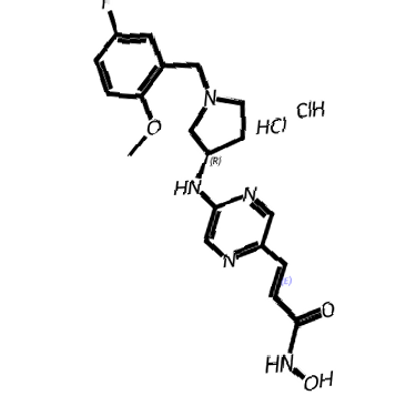 COc1ccc(F)cc1CN1CC[C@@H](Nc2cnc(/C=C/C(=O)NO)cn2)C1.Cl.Cl